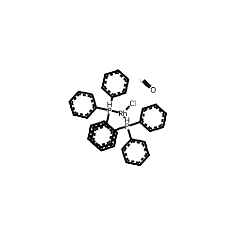 [C]=O.[Cl][Rh]([PH](c1ccccc1)(c1ccccc1)c1ccccc1)[PH](c1ccccc1)(c1ccccc1)c1ccccc1